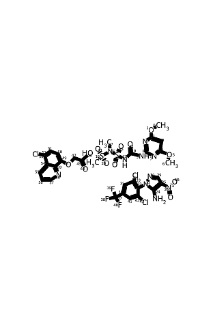 COc1cc(OC)nc(NC(=O)NS(=O)(=O)N(C)S(C)(=O)=O)n1.Nc1c([N+](=O)[O-])cnn1-c1c(Cl)cc(C(F)(F)F)cc1Cl.O=C(O)COc1ccc(Cl)c2cccnc12